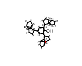 Oc1c(C2CCC3C4CCC(C4)C23)cc(C2CCC3C4CCC(C4)C23)cc1C1CCC2C3CCC(C3)C12